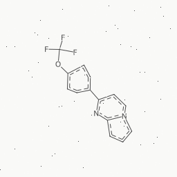 FC(F)(F)Oc1ccc(-c2ccn3cccc3n2)cc1